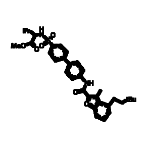 COC(=O)C(NS(=O)(=O)c1ccc(-c2ccc(NC(=O)c3oc4cccc(CCC(C)(C)C)c4c3C)cc2)cc1)C(C)C